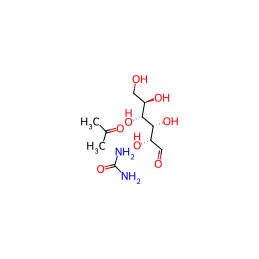 CC(C)=O.NC(N)=O.O=C[C@H](O)[C@@H](O)[C@H](O)[C@H](O)CO